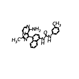 Cc1cccc(NC(=O)Nc2ccc(-c3nc(C)n4ccnc(N)c34)c3ccccc23)c1